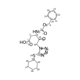 O=C(O)CC(NC(=O)OCc1ccccc1)C(=O)Cn1nnnc1SC1CCCCC1